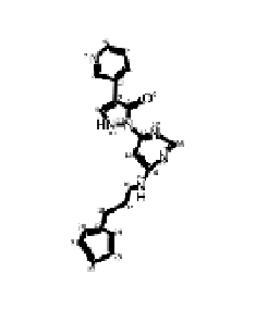 O=c1c(-c2cccnc2)c[nH]n1-c1cc(NCCCc2ccccc2)ncn1